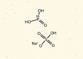 O=S(=O)([O-])O.O=[PH](O)O.[Na+]